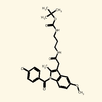 COc1ccc2c(c1)c(CC(=O)NCCCNC(=O)OC(C)(C)C)c(C)n2C(=O)c1ccc(Cl)cc1